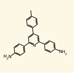 Cc1ccc(-c2cc(-c3ccc(N)cc3)nc(-c3ccc(N)cc3)c2)cc1